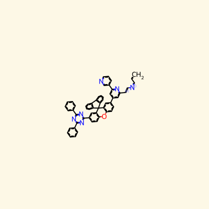 C=C/C=N\C=C\c1cc(-c2ccc3c(c2)C2(c4cc(-c5nc(-c6ccccc6)nc(-c6ccccc6)n5)ccc4O3)c3ccccc3-c3ccccc32)cc(-c2cccnc2)n1